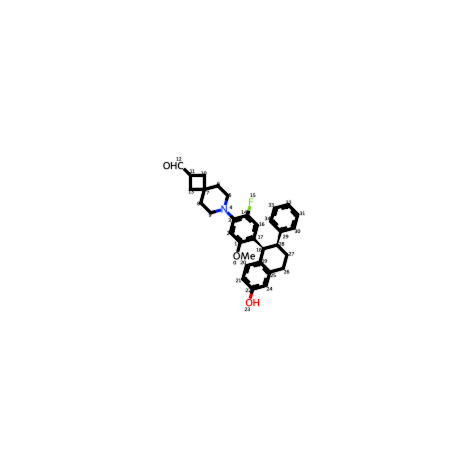 COc1cc(N2CCC3(CC2)CC(C=O)C3)c(F)cc1[C@@H]1c2ccc(O)cc2CC[C@@H]1c1ccccc1